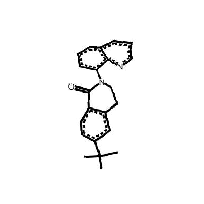 CC(C)(C)c1ccc2c(c1)CCN(c1cccc3cccnc13)C2=O